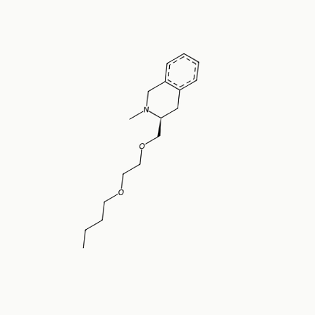 CCCCOCCOC[C@@H]1Cc2ccccc2CN1C